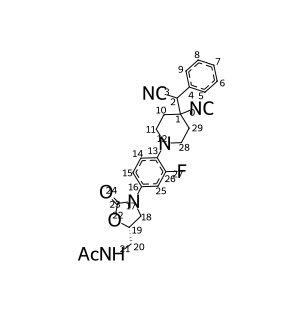 [C-]#[N+]C1(C(C#N)c2ccccc2)CCN(c2ccc(N3C[C@H](CNC(C)=O)OC3=O)cc2F)CC1